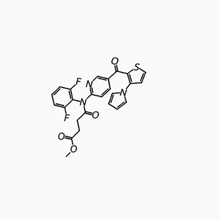 COC(=O)CCC(=O)N(c1ccc(C(=O)c2sccc2-n2cccc2)cn1)c1c(F)cccc1F